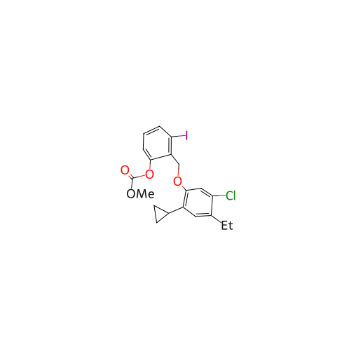 CCc1cc(C2CC2)c(OCc2c(I)cccc2OC(=O)OC)cc1Cl